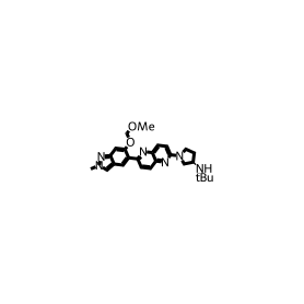 COCOc1cc2nn(C)cc2cc1-c1ccc2nc(N3CC[C@H](NC(C)(C)C)C3)ccc2n1